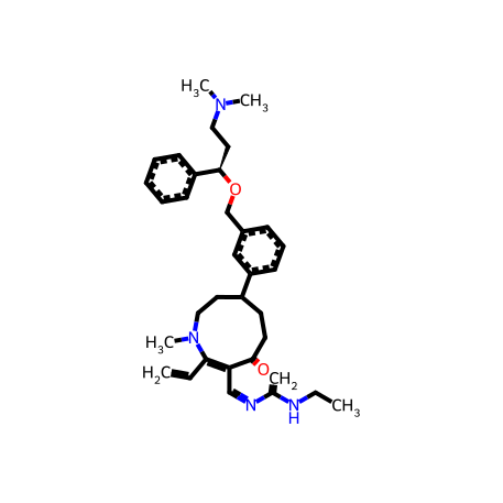 C=C/C1=C(\C=N/C(=C)NCC)C(=O)CCC(c2cccc(CO[C@H](CCN(C)C)c3ccccc3)c2)CCN1C